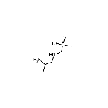 CC(N)CNCP(=O)(O)O